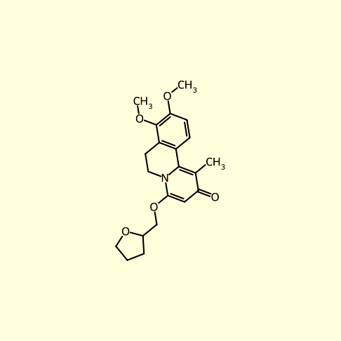 COc1ccc2c(c1OC)CCn1c(OCC3CCCO3)cc(=O)c(C)c1-2